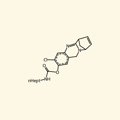 CCCCCCCNC(=O)Oc1cc2c(cc1Cl)N=C1C3C=CC(C3)N1C2